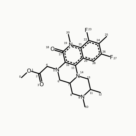 COC(=O)CN1CC2CN(C)C(C)CN2c2c1c(=O)n(C)c1c(F)c(C)c(F)cc21